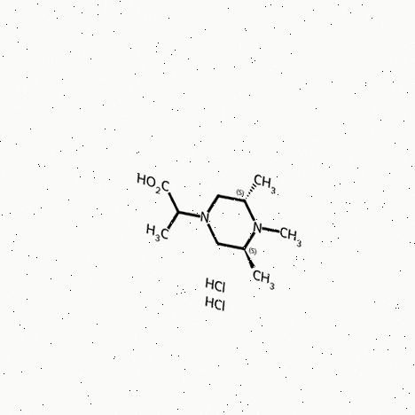 CC(C(=O)O)N1C[C@H](C)N(C)[C@@H](C)C1.Cl.Cl